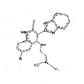 CN(C)CCNc1c(-c2nc3ccccc3[nH]2)c(=O)[nH]c2ccc(Br)cc12